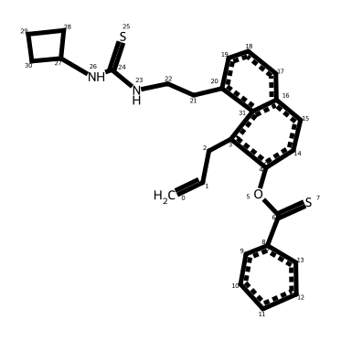 C=CCc1c(OC(=S)c2ccccc2)ccc2cccc(CCNC(=S)NC3CCC3)c12